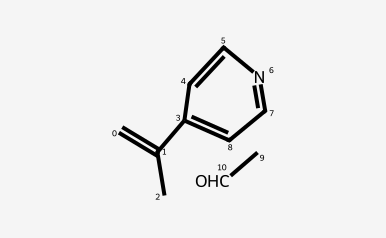 C=C(C)c1ccncc1.CC=O